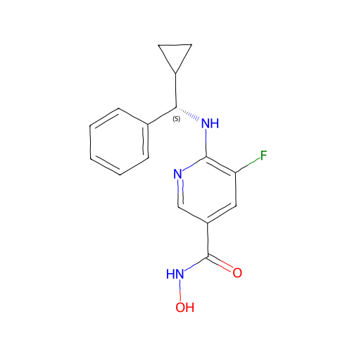 O=C(NO)c1cnc(N[C@H](c2ccccc2)C2CC2)c(F)c1